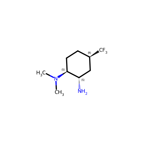 CN(C)[C@H]1CC[C@@H](C(F)(F)F)C[C@@H]1N